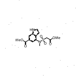 COC(=O)CS(=O)(=O)N(C)c1cc(C(=O)OC)cc2[nH]ccc12